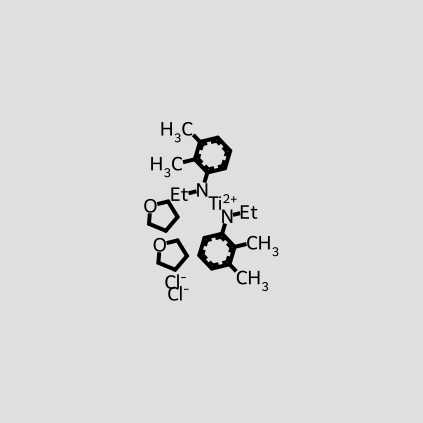 C1CCOC1.C1CCOC1.CC[N]([Ti+2][N](CC)c1cccc(C)c1C)c1cccc(C)c1C.[Cl-].[Cl-]